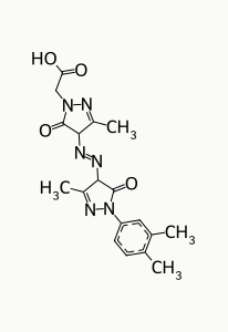 CC1=NN(CC(=O)O)C(=O)C1/N=N/C1C(=O)N(c2ccc(C)c(C)c2)N=C1C